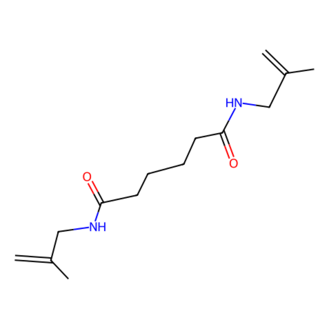 C=C(C)CNC(=O)CCCCC(=O)NCC(=C)C